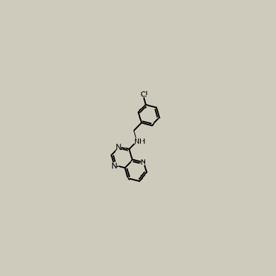 Clc1cccc(CNc2ncnc3cccnc23)c1